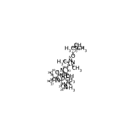 Cc1nn(COCC[Si](C)(C)C)c(C)c1-c1cnc(NC(=O)[C@@H](NC(=O)c2ccnn2C(C)C)C(C2CC2)C2CC2)c(O)c1